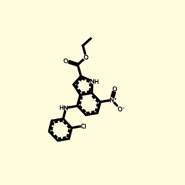 CCOC(=O)c1cc2c(Nc3ccccc3Cl)ccc([N+](=O)[O-])c2[nH]1